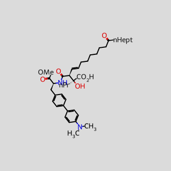 CCCCCCCC(=O)CCCCCCC=C[C@H](C(=O)N[C@@H](Cc1ccc(-c2ccc(N(C)C)cc2)cc1)C(=O)OC)[C@@](O)(CCC)C(=O)O